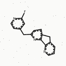 Fc1cc(Cc2ccc3c(n2)-c2ncccc2C3)ccn1